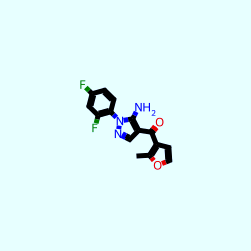 Cc1occc1C(=O)c1cnn(-c2ccc(F)cc2F)c1N